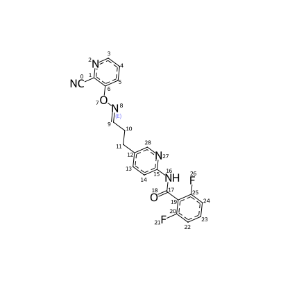 N#Cc1ncccc1O/N=C/CCc1ccc(NC(=O)c2c(F)cccc2F)nc1